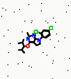 Cc1nc(OC(C(C)C)C(C)C)c2c(n1)N(c1ccc(Cl)cc1Cl)CC2